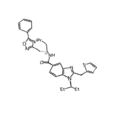 CCC(CC)n1c(Cc2cccs2)nc2cc(C(=O)N[C@H](Cc3noc(-c4ccccc4)n3)CC(C)C)ccc21